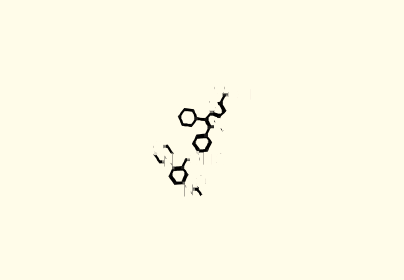 CC(=O)N(C)c1ccc(N2CCOCC2)c(COc2ccc(-c3c(C4CCCCC4)c4sc(C(=O)O)cc4n3C)cc2)c1.Cl